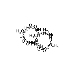 CC1NC(=O)CC(=O)NCCN(C)CCNC(=O)CC(=O)NCCN2CCNC(=O)CC(=O)NCCN(C)CCNC(=O)CC(=O)NCCN(CC2C)C1C